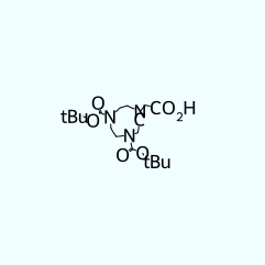 CC(C)(C)OC(=O)N1CCN(CC(=O)O)CCN(C(=O)OC(C)(C)C)CC1